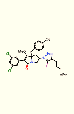 CCCCCCCCCCCCCc1nnn(C2CN3C(=O)C(c4cc(Cl)cc(Cl)c4)=C(OC)C3(Cc3ccc(C#N)cc3)C2)c1I